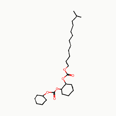 CC(C)CCCCCCCCCCOC(=O)OC1CCCCC1OC(=O)OC1CCCCC1